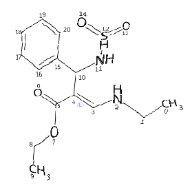 CCN/C=C(/C(=O)OCC)C(N[SH](=O)=O)c1ccccc1